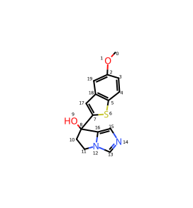 COc1ccc2sc(C3(O)CCn4cncc43)cc2c1